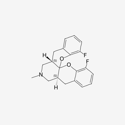 CN1C[C@@H]2Cc3cccc(F)c3OC23Oc2c(F)cccc2C[C@H]3C1